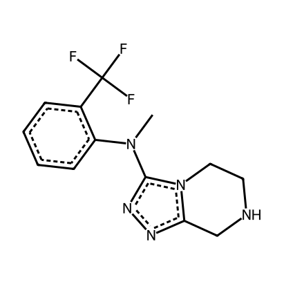 CN(c1ccccc1C(F)(F)F)c1nnc2n1CCNC2